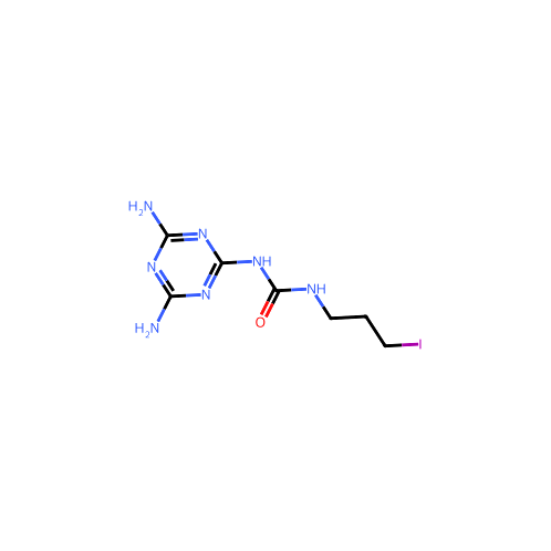 Nc1nc(N)nc(NC(=O)NCCCI)n1